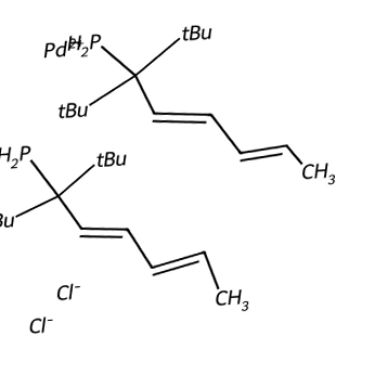 CC=CC=CC(P)(C(C)(C)C)C(C)(C)C.CC=CC=CC(P)(C(C)(C)C)C(C)(C)C.[Cl-].[Cl-].[Pd+2]